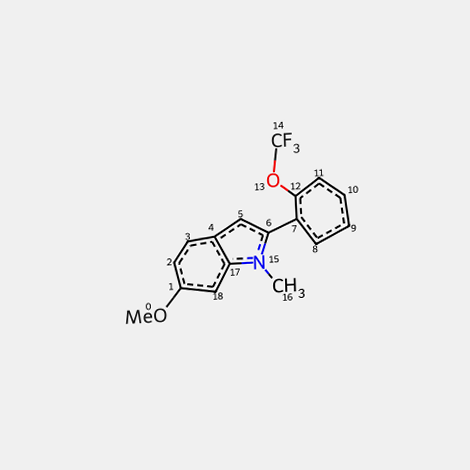 COc1ccc2cc(-c3ccccc3OC(F)(F)F)n(C)c2c1